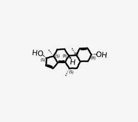 C[C@H]1CC2C[C@@H](O)C=C[C@]2(C)[C@H]2CC[C@@]3(C)C(=C12)C=C[C@@H]3O